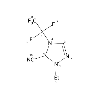 CCN1N=CN(C(F)(F)C(F)(F)F)C1C#N